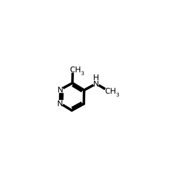 CNc1ccnnc1C